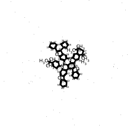 CC(C)(C)c1ccc(N2B3c4cc5oc(-c6ccccc6)c(-c6ccccc6)c5cc4-n4c5cc6c(cc5c5c7oc8ccccc8c7c(c3c54)-c3cc4c(cc32)oc2ccccc24)C(C)(C)CCC6(C)C)cc1